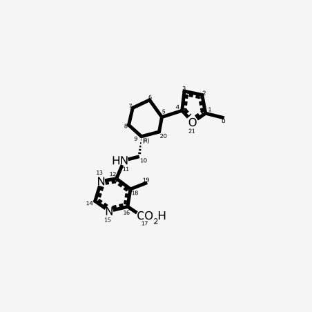 Cc1ccc(C2CCC[C@@H](CNc3ncnc(C(=O)O)c3C)C2)o1